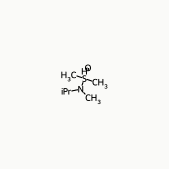 CC(C)N(C)[SH](C)(C)=O